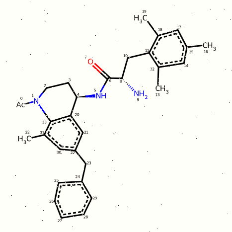 CC(=O)N1CC[C@@H](NC(=O)[C@@H](N)Cc2c(C)cc(C)cc2C)c2cc(Cc3ccccc3)cc(C)c21